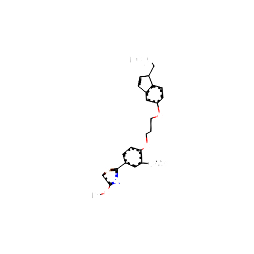 COc1cc(-c2nc(OC(C)C)cs2)ccc1OCCCOc1ccc2c(c1)C=CC2CC(=O)O